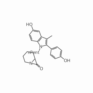 CCCCCn1c(-c2ccc(O)cc2)c(C)c2cc(O)ccc21.O=C1C2CCCCN12